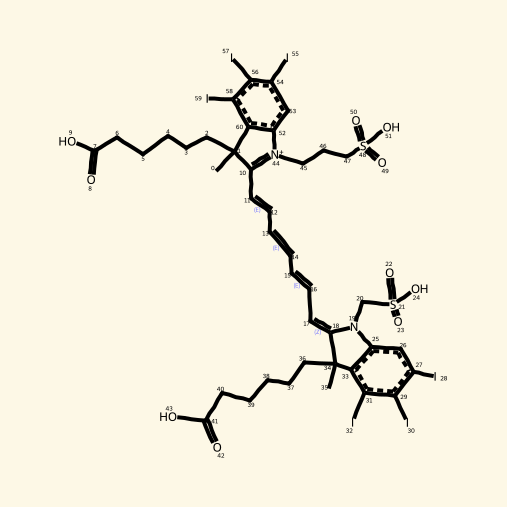 CC1(CCCCCC(=O)O)C(/C=C/C=C/C=C/C=C2\N(CS(=O)(=O)O)c3cc(I)c(I)c(I)c3C2(C)CCCCCC(=O)O)=[N+](CCCS(=O)(=O)O)c2cc(I)c(I)c(I)c21